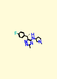 Cc1nnc([C@@H](C)c2ccc(F)cc2)c(NC2CCN(C)C2)n1